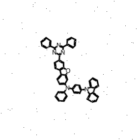 c1ccc(-c2nc(-c3ccccc3)nc(-c3ccc4c(c3)oc3cc(N(c5ccccc5)c5ccc(-n6c7ccccc7c7ccccc76)cc5)ccc34)n2)cc1